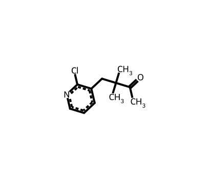 CC(=O)C(C)(C)Cc1cccnc1Cl